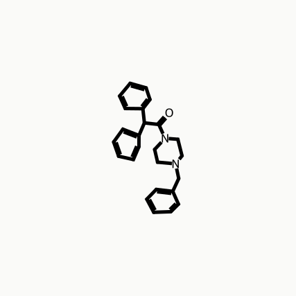 O=C(C(c1ccccc1)c1ccccc1)N1CCN(Cc2ccccc2)CC1